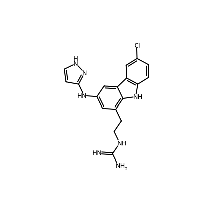 N=C(N)NCCc1cc(Nc2cc[nH]n2)cc2c1[nH]c1ccc(Cl)cc12